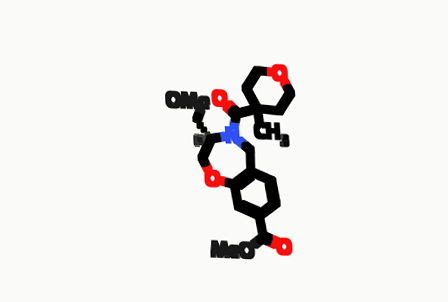 COC[C@H]1COc2cc(C(=O)OC)ccc2CN1C(=O)C1(C)CCOCC1